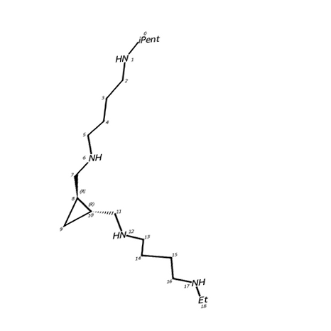 CCCC(C)NCCCCNC[C@@H]1C[C@H]1CNCCCCNCC